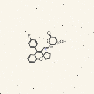 O=C1C[C@H](O)C[C@@H](/C=C/C2=C(c3ccc(F)cc3)C3C=CC=CC3OC23CCCC3)O1